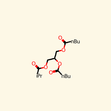 CCCCC(=O)OCC(COC(=O)C(C)C)OC(=O)CCCC